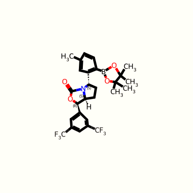 Cc1ccc(B2OC(C)(C)C(C)(C)O2)c([C@@H]2CC[C@H]3[C@@H](c4cc(C(F)(F)F)cc(C(F)(F)F)c4)OC(=O)N23)c1